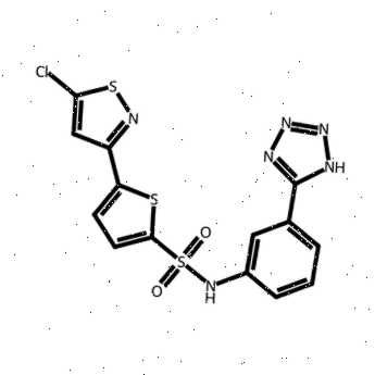 O=S(=O)(Nc1cccc(-c2nnn[nH]2)c1)c1ccc(-c2cc(Cl)sn2)s1